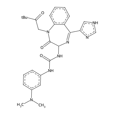 CN(C)c1cccc(NC(=O)NC2N=C(c3c[nH]cn3)c3ccccc3N(CC(=O)C(C)(C)C)C2=O)c1